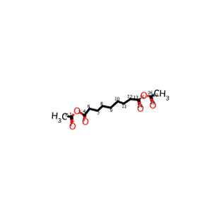 CC(=O)OC(=O)CCCCCCCC(=O)OC(C)=O